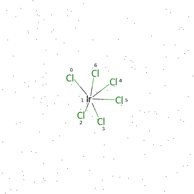 [Cl][Ir]([Cl])([Cl])([Cl])([Cl])[Cl]